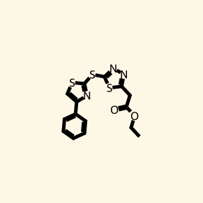 CCOC(=O)Cc1nnc(Sc2nc(-c3ccccc3)cs2)s1